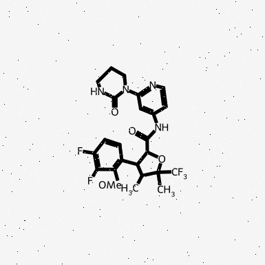 COc1c(C2C(C(=O)Nc3ccnc(N4CCCNC4=O)c3)OC(C)(C(F)(F)F)C2C)ccc(F)c1F